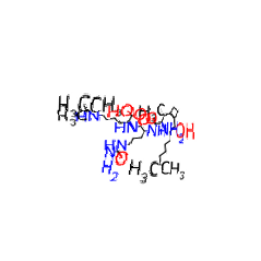 CC(C)CCCCCC(O)C1=C([C@@H](C)C(N)C(=O)N[C@@H](CCCNC(N)=O)C(=O)N[C@@H](CCCCNC(C)(C)C)C(=O)O)CC1